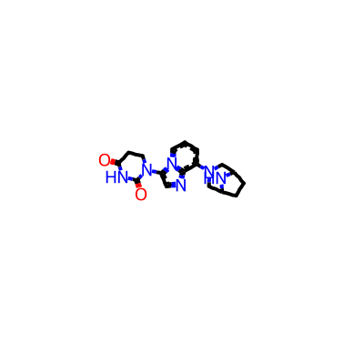 O=C1CCN(c2cnc3c(N4CC5CCC(C4)N5)cccn23)C(=O)N1